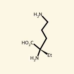 CC[C@](N)(CCCN)C(=O)O